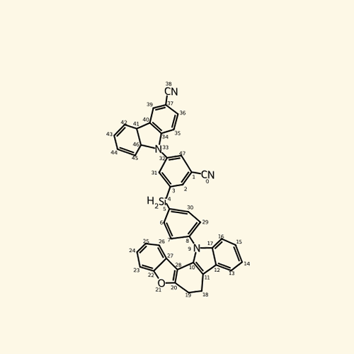 N#Cc1cc([SiH2]c2ccc(-n3c4c(c5ccccc53)CCc3oc5ccccc5c3-4)cc2)cc(N2c3ccc(C#N)cc3C3C=CC=CC32)c1